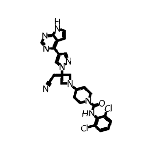 N#CCC1(n2cc(-c3ncnc4[nH]ccc34)cn2)CN(C2CCN(C(=O)Nc3c(Cl)cccc3Cl)CC2)C1